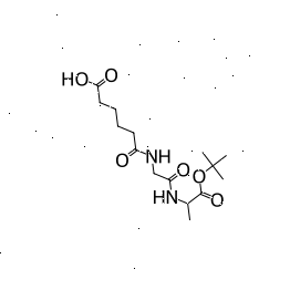 CC(NC(=O)CNC(=O)CCCCC(=O)O)C(=O)OC(C)(C)C